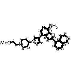 COCCN1CCC(n2cc(-c3cnc(N)c4oc(-c5cccc6cnccc56)cc34)cn2)CC1